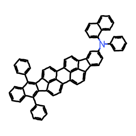 c1ccc(-c2c3c(c(-c4ccccc4)c4ccccc24)-c2ccc4c5ccc6c7c(ccc(c8ccc-3c2c84)c75)-c2ccc(N(c3ccccc3)c3cccc4ccccc34)cc2-6)cc1